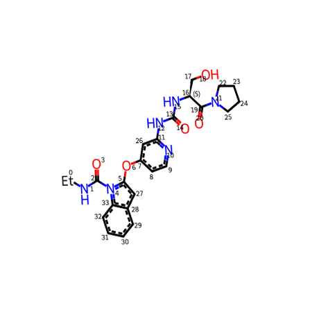 CCNC(=O)n1c(Oc2ccnc(NC(=O)N[C@@H](CO)C(=O)N3CCCC3)c2)cc2ccccc21